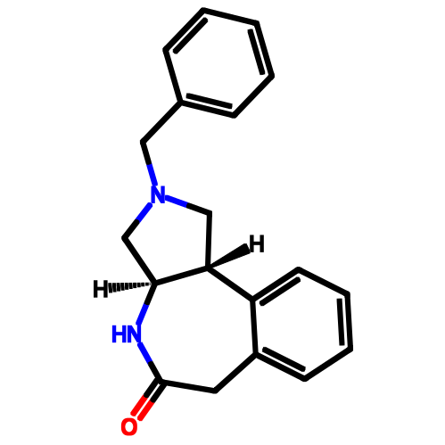 O=C1Cc2ccccc2[C@H]2CN(Cc3ccccc3)C[C@@H]2N1